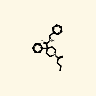 C=C(CCC)N1CCC(C(=O)NCc2ccccc2)(c2ccccc2)CC1